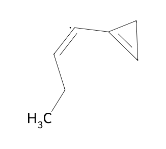 CC/C=[C]\C1=CC1